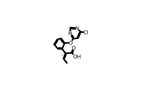 C/C=C(\C(=O)O)c1ccccc1Oc1cc(Cl)ncn1